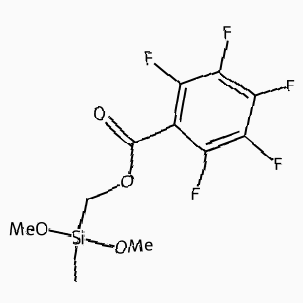 CO[Si](C)(COC(=O)c1c(F)c(F)c(F)c(F)c1F)OC